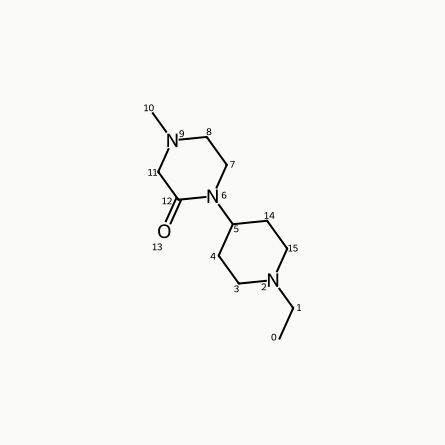 CCN1CCC(N2CCN(C)CC2=O)CC1